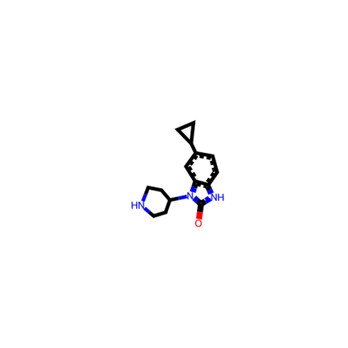 O=c1[nH]c2ccc(C3CC3)cc2n1C1CCNCC1